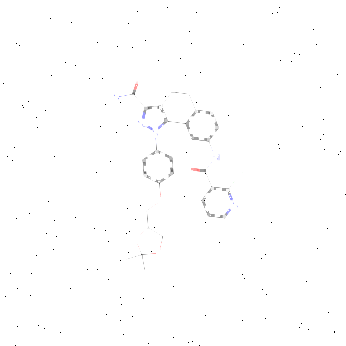 CC1(C)OCC(COc2ccc(-n3nc(C(N)=O)c4c3-c3cc(NC(=O)c5cccnc5Cl)ccc3CC4)cc2)O1